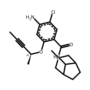 CC#C[C@H](C)Oc1cc(N)c(Cl)cc1C(=O)NC1C2CCC1CN(C)C2